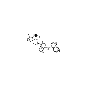 C[C@@H]1OCC2(CCN(c3ncc(Sc4ccnc5cnccc45)c4nccn34)CC2)[C@@H]1N